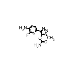 Cn1nnc(-c2ccc(N)c(F)n2)c1OC(N)=O